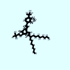 CCCCCCCCC(CCCCCCCC)c1cc2c(s1)c1c(c3sc(-c4ccc(C(C)(C)C)c5nsnc45)cc32)SC(C(C)(C)C)C1